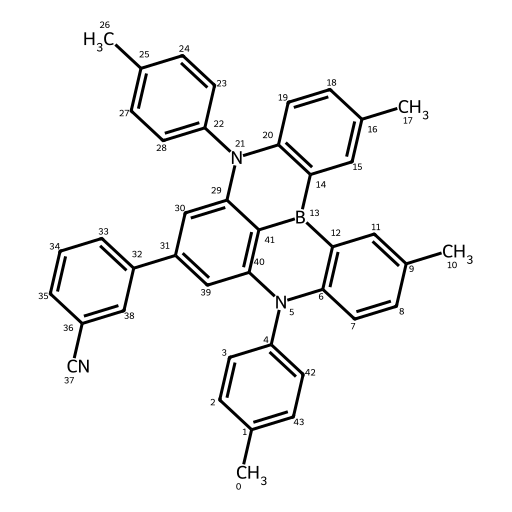 Cc1ccc(N2c3ccc(C)cc3B3c4cc(C)ccc4N(c4ccc(C)cc4)c4cc(-c5cccc(C#N)c5)cc2c43)cc1